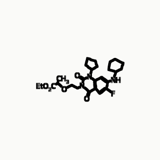 CCOC(=O)C(C)OCCn1c(=O)c2cc(F)c(NC3CCCCC3)cc2n(C2CCCC2)c1=O